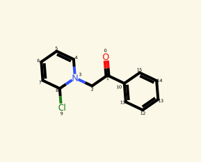 O=C(CN1C=CC=CC1Cl)c1ccccc1